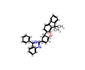 CC1(C)c2ccccc2-c2ccc3c(oc4ccc(-c5nc(-c6ccccc6)c6ccccc6n5)cc43)c21